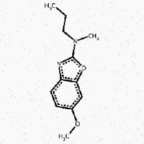 CCCN(C)c1nc2ccc(OC)cc2o1